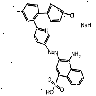 Cc1ccc(-c2ccc(Cl)cc2)c(-c2ccc(/N=N/c3cc(S(=O)(=O)O)c4ccccc4c3N)cn2)c1.[NaH]